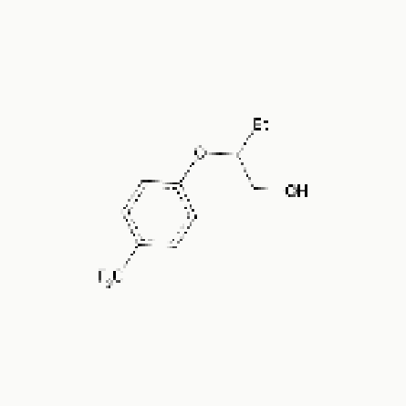 CCC(CO)Oc1ccc(C(F)(F)F)cc1